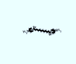 Nc1cc[n+](C(Br)CCCCCCCCCCC(Br)[n+]2ccc(N)cc2)cc1